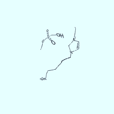 CCCCCCCCCCCCCCN1C=CN(C)C1.COS(=O)(=O)O